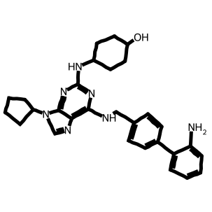 Nc1ccccc1-c1ccc(CNc2nc(NC3CCC(O)CC3)nc3c2ncn3C2CCCC2)cc1